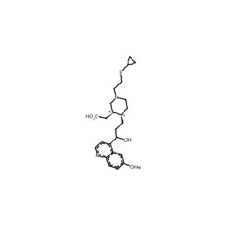 COc1ccc2nccc(C(O)CC[C@@H]3CCN(CCSC4CC4)C[C@@H]3CC(=O)O)c2c1